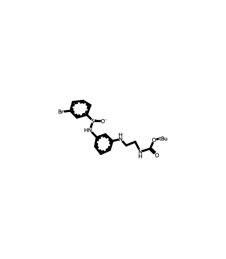 CC(C)(C)OC(=O)NCCNc1cccc(N[S+]([O-])c2cccc(Br)c2)c1